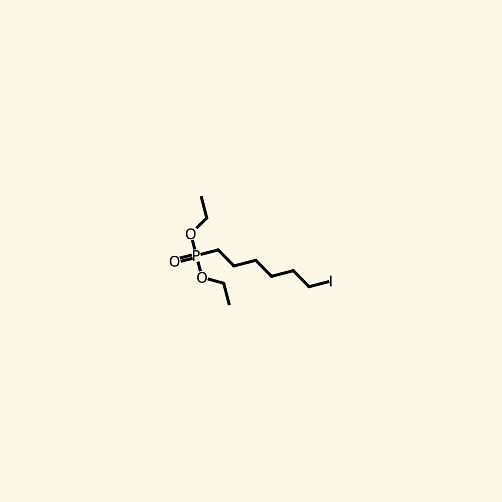 CCOP(=O)(CCCCCCI)OCC